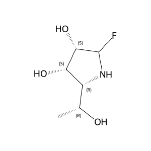 C[C@@H](O)[C@H]1NC(F)[C@@H](O)[C@H]1O